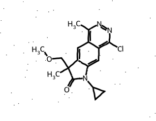 COCC1(C)C(=O)N(C2CC2)c2cc3c(Cl)nnc(C)c3cc21